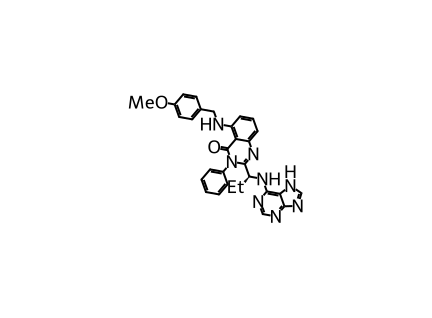 CC[C@H](Nc1ncnc2nc[nH]c12)c1nc2cccc(NCc3ccc(OC)cc3)c2c(=O)n1-c1ccccc1